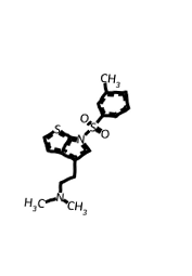 Cc1cccc(S(=O)(=O)n2cc(CCN(C)C)c3ccsc32)c1